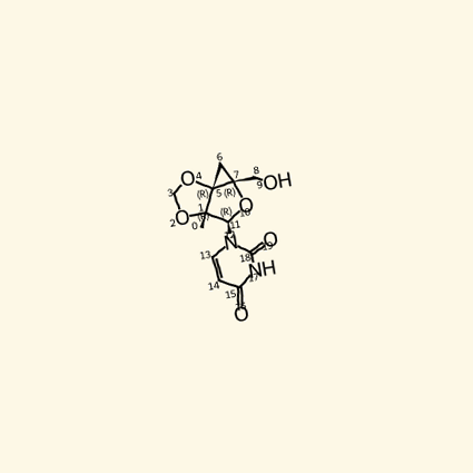 C[C@@]12OCO[C@@]13C[C@]3(CO)O[C@H]2n1ccc(=O)[nH]c1=O